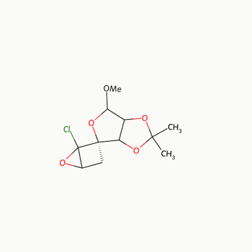 COC1O[C@@]2(CC3OC32Cl)C2OC(C)(C)OC12